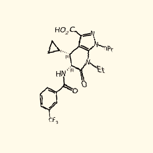 CCCn1nc(C(=O)O)c2c1N(CC)C(=O)[C@H](NC(=O)c1cccc(C(F)(F)F)c1)[C@@H]2C1CC1